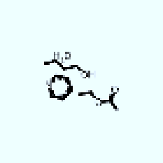 CCCCO.CCOC(C)=O.O.c1ccncc1